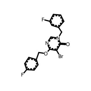 O=c1c(Br)c(OCc2ccc(F)cc2)ncn1Cc1cccc(F)c1